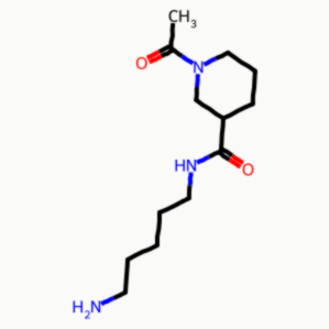 CC(=O)N1CCCC(C(=O)NCCCCCN)C1